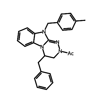 CC(=O)N1CC(Cc2ccccc2)N2C(=N1)N(Cc1ccc(C)cc1)c1ccccc12